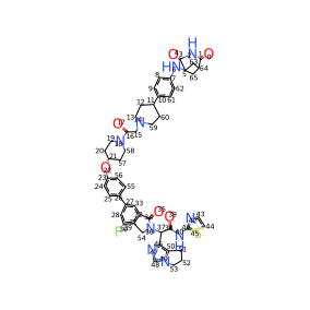 O=C1NC(=O)C2(Nc3ccc(C4CCN(CC(=O)N5CCC(Oc6ccc(-c7cc(F)c8c(c7)C(=O)N(C(C(=O)Nc7nccs7)c7ncn9c7CCC9)C8)cc6)CC5)CC4)cc3)CC1C2